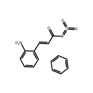 O=C(C=Cc1ccccc1[N+](=O)[O-])N=S(=O)=O.c1ccccc1